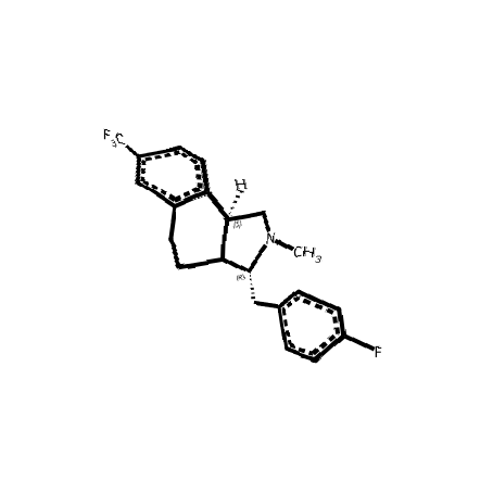 CN1C[C@@H]2c3ccc(C(F)(F)F)cc3CCC2[C@H]1Cc1ccc(F)cc1